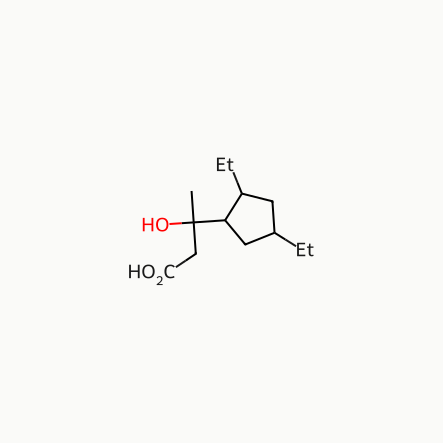 CCC1CC(CC)C(C(C)(O)CC(=O)O)C1